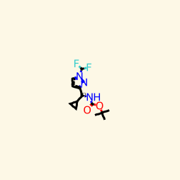 CC(C)(C)OC(=O)N[C@H](c1ccn(C(F)F)n1)C1CC1